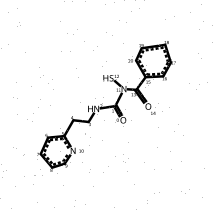 O=C(NCCc1ccccn1)N(S)C(=O)c1ccccc1